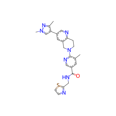 Cc1cc(C(=O)NCc2nccs2)cnc1N1CCc2ncc(-c3cn(C)nc3C)cc2C1